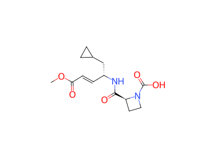 COC(=O)C=C[C@H](CC1CC1)NC(=O)[C@@H]1CCN1C(=O)O